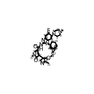 CN1CCN(c2cc3c(cc2F)nc2n3C34CCC(CC3)CN(CCOc3c(cnn3C)-c3cc(cn(C)c3=O)C(=O)N2)C4)CC1